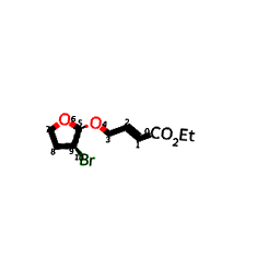 CCOC(=O)/C=C/CO[C@H]1OCC[C@@H]1Br